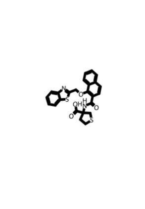 O=C(NC1(C(=O)O)CCSC1)c1ccc2ccccc2c1OCc1nc2ccccc2s1